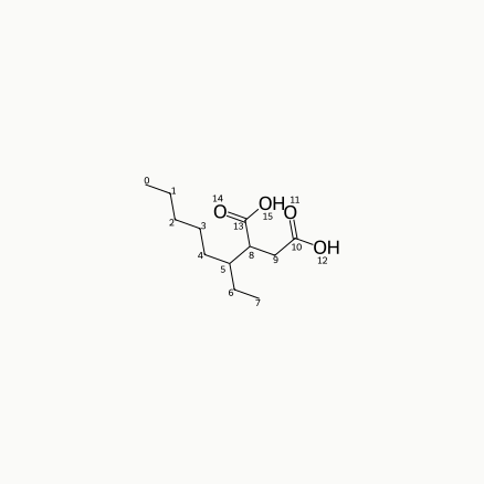 CCCCCC(CC)C(CC(=O)O)C(=O)O